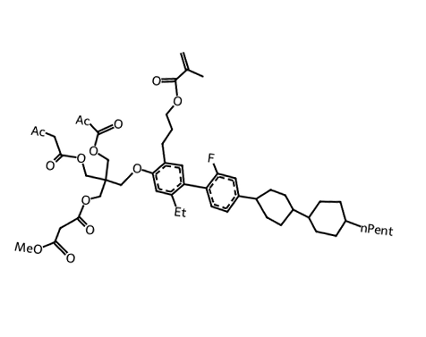 C=C(C)C(=O)OCCCc1cc(-c2ccc(C3CCC(C4CCC(CCCCC)CC4)CC3)cc2F)c(CC)cc1OCC(COC(=O)CC(C)=O)(COC(=O)CC(=O)OC)COC(=O)C(C)=O